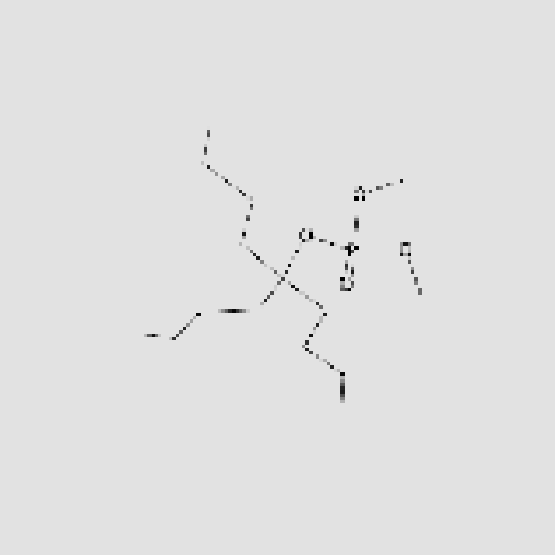 CCCCC(CCCC)(CCCC)OP(=O)(OC)OC